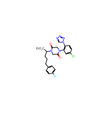 CCOC(=O)C(CCCc1ccc(F)cc1)N1CC(=O)N(c2cc(Cl)ccc2-n2cnnn2)CC1=O